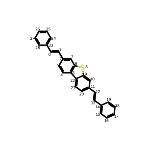 C(=C\c1ccc2c(c1)sc1cc(/C=C/c3ccccc3)ccc12)/c1ccccc1